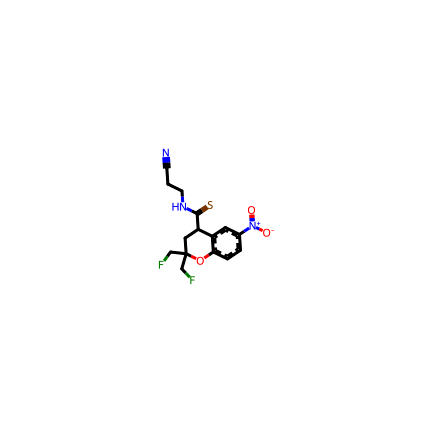 N#CCCNC(=S)C1CC(CF)(CF)Oc2ccc([N+](=O)[O-])cc21